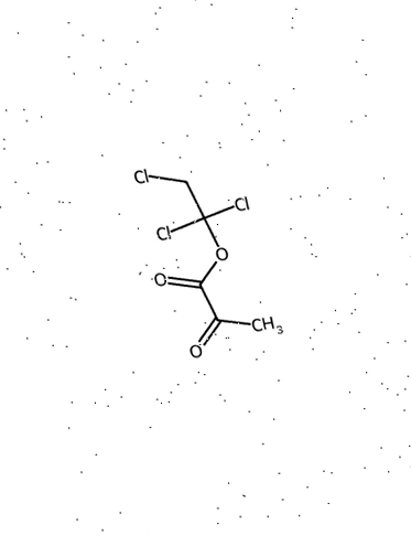 CC(=O)C(=O)OC(Cl)(Cl)CCl